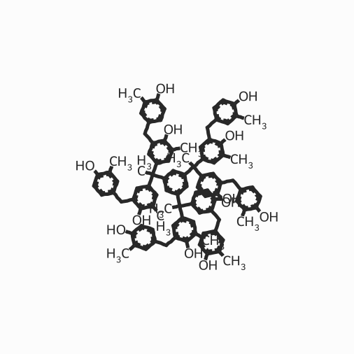 Cc1cc(Cc2cc(C(C)(c3cc(C(C)(c4ccc(O)c(Cc5ccc(O)c(C)c5)c4)c4cc(C)c(O)c(Cc5ccc(O)c(C)c5)c4)cc(C(C)(c4cc(C)c(O)c(Cc5ccc(O)c(C)c5)c4)c4cc(C)c(O)c(Cc5ccc(O)c(C)c5)c4)c3)c3cc(C)c(O)c(Cc4ccc(O)c(C)c4)c3)ccc2O)ccc1O